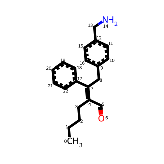 CCCC/C(C=O)=C(/Cc1ccc(CN)cc1)c1ccccc1